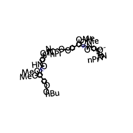 CCCCOCCOc1ccc(-c2cc(/C=C/C(=O)Nc3ccc([S@+]([O-])Cc4cnc(CCCCOCCOc5ccc(-c6cc(/C=C/C(=O)Nc7ccc([S@@+]([O-])Cc8cncn8CCC)cc7)c(OC)c(OC)c6)cc5)n4CCC)cc3)c(OC)c(OC)c2)cc1